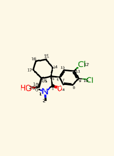 CN(C)C(=O)C1(c2ccc(Cl)c(Cl)c2)CCCCC1CO